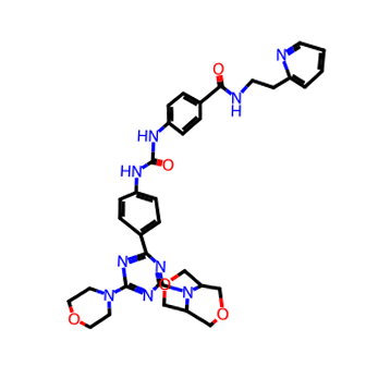 O=C(Nc1ccc(C(=O)NCCc2ccccn2)cc1)Nc1ccc(-c2nc(N3CCOCC3)nc(N3C4COCC3COC4)n2)cc1